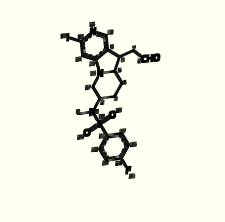 CN(C1CCC2C(CC=O)c3cnc(I)cc3N2C1)S(=O)(=O)c1ccc(F)cc1